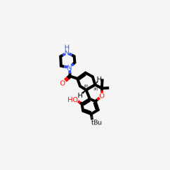 CC(C)(C)c1cc(O)c2c(c1)OC(C)(C)[C@@H]1CC=C(C(=O)N3CCNCC3)C[C@@H]21